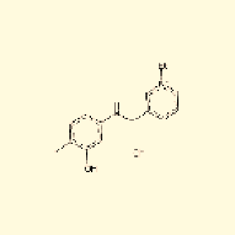 CC[n+]1cccc(CNc2ccc(C)c(O)c2)c1.[Cl-]